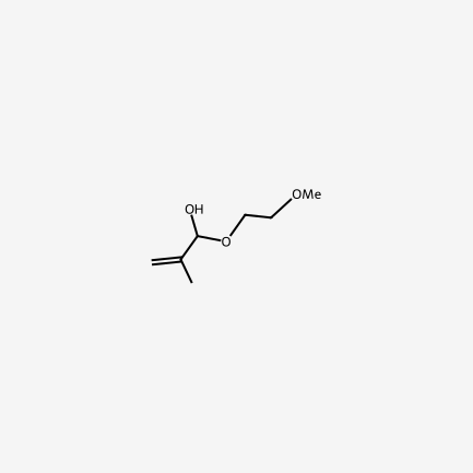 C=C(C)C(O)OCCOC